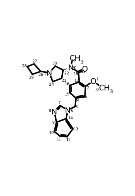 COc1cc(Cn2cnc3ccccc32)ccc1C(=O)N(C)[C@@H]1CCN(C2CCC2)C1